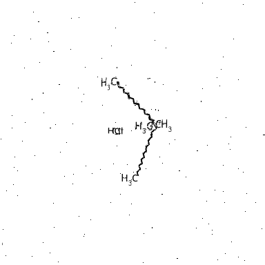 CCCCCCCCCCCCCCCC[N+](C)(C)CCCCCCCCCCCCCCCC.Cl.[Cl-]